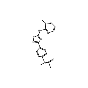 CC(=O)N(C)c1ccc(-c2nsc(Nc3ncccc3C)n2)nc1